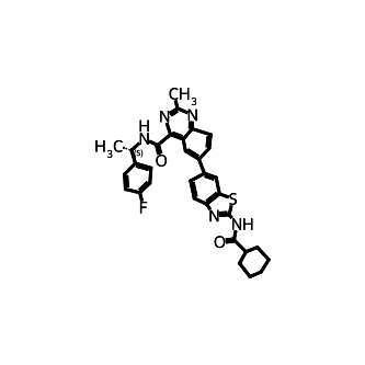 Cc1nc(C(=O)N[C@@H](C)c2ccc(F)cc2)c2cc(-c3ccc4nc(NC(=O)C5CCCCC5)sc4c3)ccc2n1